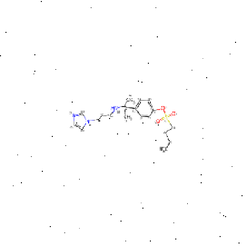 CCCCS(=O)(=O)Oc1ccc(C(C)(C)NCCCn2ccnc2)cc1